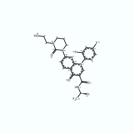 CC[C@H](NC(=O)c1cn(-c2ncc(F)cc2F)c2nc(N3CCCN(CCO)C3=O)ccc2c1=O)C(F)(F)F